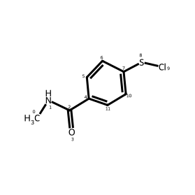 CNC(=O)c1ccc(SCl)cc1